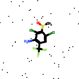 C[S+]([O-])c1c(Cl)cc(C(F)(F)F)c(N)c1Cl